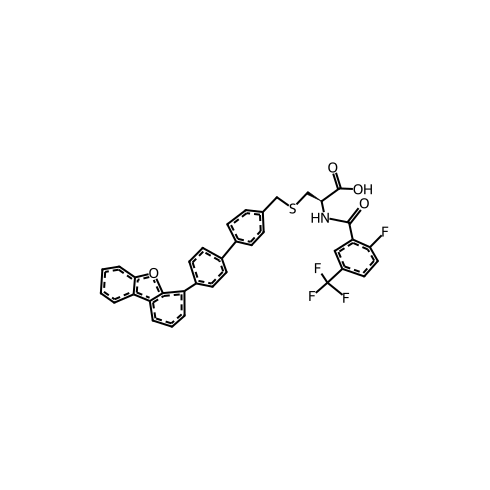 O=C(N[C@@H](CSCc1ccc(-c2ccc(-c3cccc4c3oc3ccccc34)cc2)cc1)C(=O)O)c1cc(C(F)(F)F)ccc1F